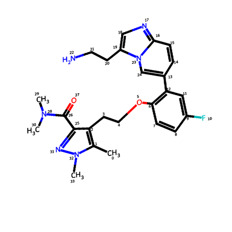 Cc1c(CCOc2ccc(F)cc2-c2ccc3ncc(CCN)n3c2)c(C(=O)N(C)C)nn1C